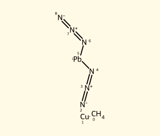 C.[Cu].[N-]=[N+]=[N][Pb][N]=[N+]=[N-]